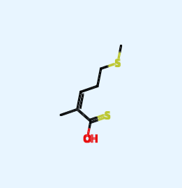 CSCCC=C(C)C(O)=S